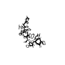 C#CC(Oc1cc(Cl)ccc1Oc1ccc(Cl)cc1Cl)C1=C(C(=O)O)N2C(=O)C(NC(=O)Cc3cccs3)[C@@H]2[S+]([O-])C1